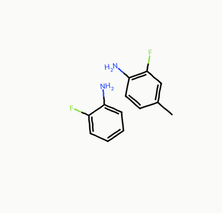 Cc1ccc(N)c(F)c1.Nc1ccccc1F